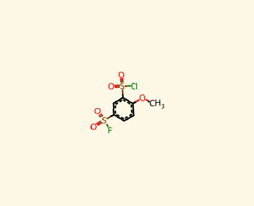 COc1ccc(S(=O)(=O)F)cc1S(=O)(=O)Cl